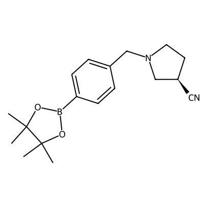 CC1(C)OB(c2ccc(CN3CC[C@@H](C#N)C3)cc2)OC1(C)C